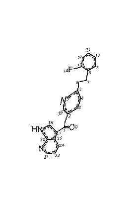 O=C(c1ccc(CCc2ccccc2F)nc1)c1c[nH]c2ncccc12